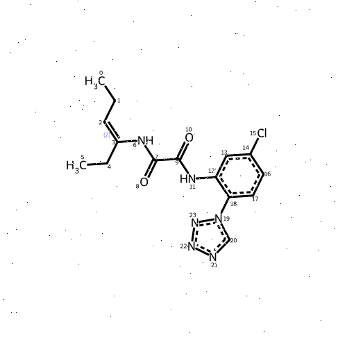 CC/C=C(/CC)NC(=O)C(=O)Nc1cc(Cl)ccc1-n1cnnn1